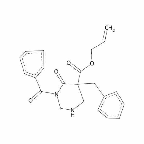 C=CCOC(=O)C1(Cc2ccccc2)CNCN(C(=O)c2ccccc2)C1=O